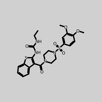 CCNC(=O)Nc1sc2ccccc2c1C(=O)N1CCN(S(=O)(=O)c2ccc(OC)c(OC)c2)CC1